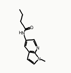 CCCC(=O)Nc1cnc2c(ccn2C)c1